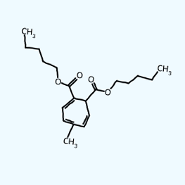 CCCCCOC(=O)C1=CC=C(C)C=CC1C(=O)OCCCCC